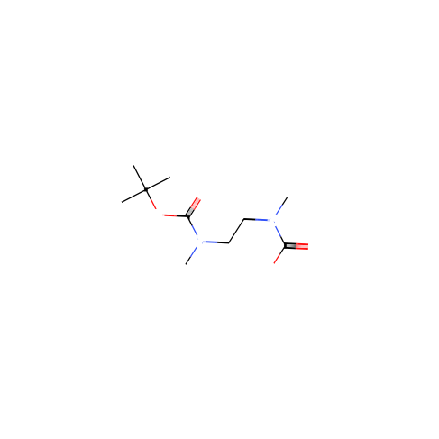 CN(CCN(C)C(=O)OC(C)(C)C)C(=O)O